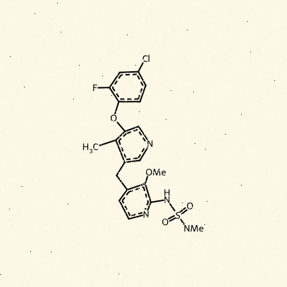 CNS(=O)(=O)Nc1nccc(Cc2cncc(Oc3ccc(Cl)cc3F)c2C)c1OC